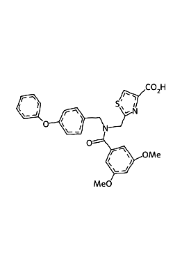 COc1cc(OC)cc(C(=O)N(Cc2ccc(Oc3ccccc3)cc2)Cc2nc(C(=O)O)cs2)c1